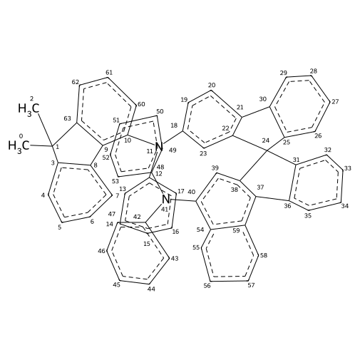 CC1(C)c2ccccc2-c2c(N(c3ccccc3)c3ccc4c(c3)C3(c5ccccc5-4)c4ccccc4-c4c3cc(N(c3ccccc3)c3ccccc3)c3ccccc43)cccc21